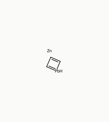 C1=[CH][PbH]=[CH]1.[Zn]